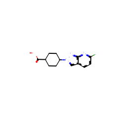 COC(=O)C1CCC(n2cc3ccc(Cl)nc3n2)CC1